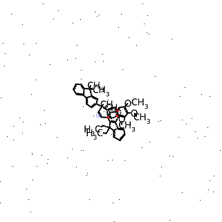 CCC1(CC)c2ccccc2-c2c1c(/C=C\C(C)(c1ccc(OC)cc1)c1ccc3c(c1)C(C)(C)c1ccccc1-3)c(C)c1cc(OC)c(OC)cc21